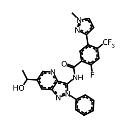 CC(O)c1cnc2c(NC(=O)c3cc(-c4ccn(C)n4)c(C(F)(F)F)cc3F)n(-c3ccccc3)nc2c1